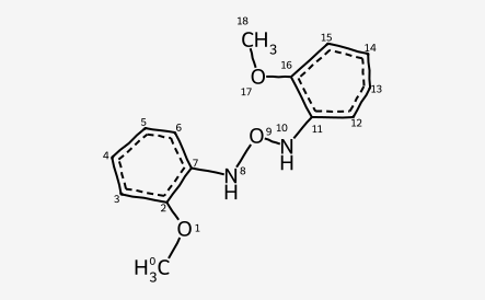 COc1ccccc1NONc1ccccc1OC